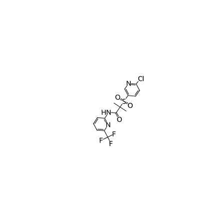 CC(C)(C(=O)Nc1cccc(C(F)(F)F)n1)S(=O)(=O)c1ccc(Cl)nc1